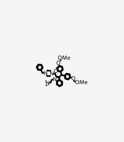 COCOc1ccc(C(c2ccc(OCOC)cc2)c2c(C(=O)N3CCN(Cc4ccccc4)CC3)n(CCN(C)C)c3ccccc23)cc1